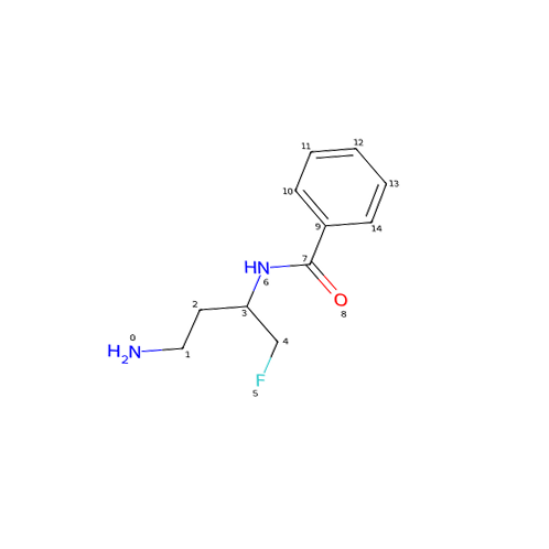 NCCC(CF)NC(=O)c1ccccc1